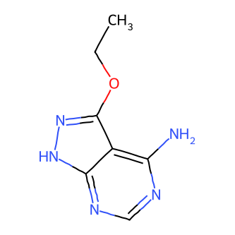 CCOc1n[nH]c2ncnc(N)c12